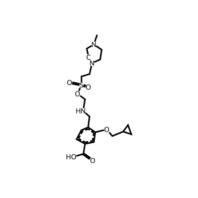 CN1CCN(CCS(=O)(=O)OCNCc2ccc(C(=O)O)cc2OCC2CC2)CC1